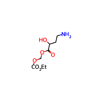 CCOC(=O)OCOC(=O)C(O)CCN